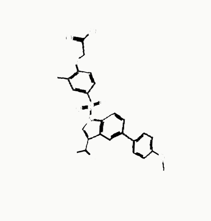 COc1ccc(-c2ccc3c(c2)c(C(C)=O)cn3S(=O)(=O)c2ccc(OCC(=O)O)c(C)c2)cc1